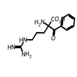 N=C(N)NCCCC(N)(C(=O)O)C(=O)c1ccccc1